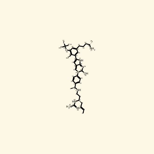 C/C=C/C[C@H](CCN[C@@H](C)c1ccc(N2C=c3cc(-c4cc(CCC[C@H](C)N)cc(OC(F)(F)F)c4F)[nH]c3=NC2O)cc1)NC(=N)N